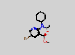 CCN(c1ncc(Br)cc1C(=O)OC)C1CCCCC1